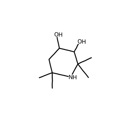 CC1(C)CC(O)C(O)C(C)(C)N1